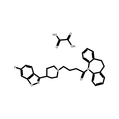 O=C(CCCN1CCC(c2noc3cc(F)ccc23)CC1)N1c2ccccc2CCc2ccccc21.O=C(O)C(=O)O